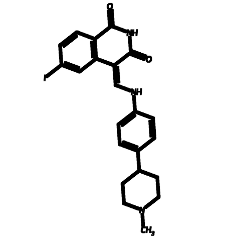 CN1CCC(c2ccc(NC=C3C(=O)NC(=O)c4ccc(I)cc43)cc2)CC1